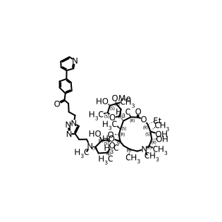 CC[C@H]1OC(=O)[C@H](C)C([C@H]2C[C@@](C)(OC)[C@@H](O)[C@H](C)O2)[C@H](C)[C@@H](O[C@@H]2O[C@H](C)C[C@H](N(C)CCc3cn(CCCC(=O)c4ccc(-c5cccnc5)cc4)nn3)[C@H]2O)[C@](C)(O)C[C@@H](C)CN(C)[C@H](C)[C@@H](O)[C@]1(C)O